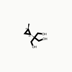 C[C@@H]1C[C@H]1C(CO)(CO)CO